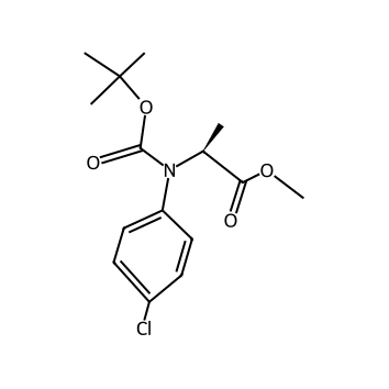 COC(=O)[C@H](C)N(C(=O)OC(C)(C)C)c1ccc(Cl)cc1